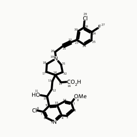 COc1ccc2ncc(Cl)c(C(O)CCC3(CC(=O)O)CCN(CC#Cc4ccc(F)c(Cl)c4)CC3)c2c1